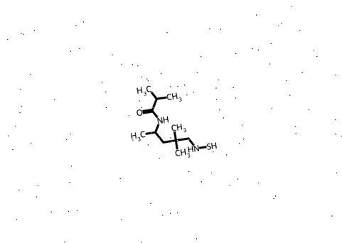 CC(CC(C)(C)CNS)NC(=O)C(C)C